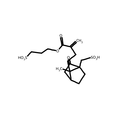 C=C(CCC1(C)C2CCC1(CS(=O)(=O)O)C(=O)C2)C(=O)OCCCS(=O)(=O)O